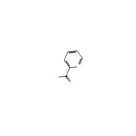 NC(=O)c1c[c]ccn1